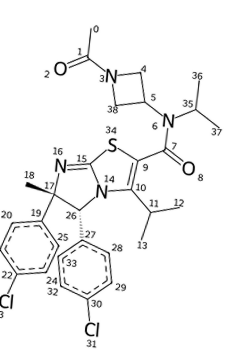 CC(=O)N1CC(N(C(=O)C2=C(C(C)C)N3C(=N[C@@](C)(c4ccc(Cl)cc4)[C@H]3c3ccc(Cl)cc3)S2)C(C)C)C1